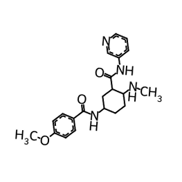 CNC1CCC(NC(=O)c2ccc(OC)cc2)CC1C(=O)Nc1cccnc1